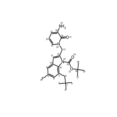 CC(C)(C)Cc1cc(F)cc2cc(Cn3cccc(N)c3=O)n(C(=O)OC(C)(C)C)c12